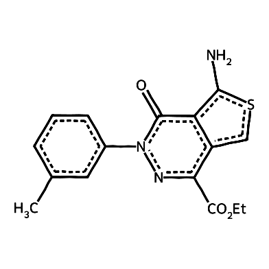 CCOC(=O)c1nn(-c2cccc(C)c2)c(=O)c2c(N)scc12